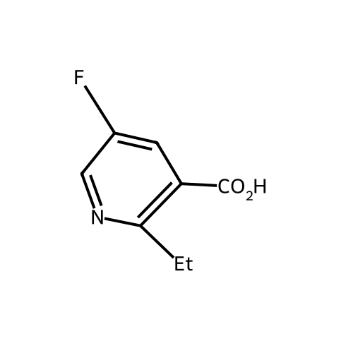 CCc1ncc(F)cc1C(=O)O